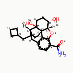 NC(=O)c1ccc2c3c1O[C@H]1[C@@H](O)CC[C@@]4(O)[C@@H](C2)C(CC2CCC2)CC[C@]314